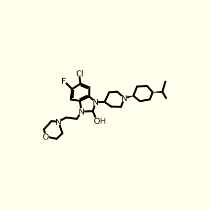 CC(C)[C@H]1CC[C@@H](N2CCC(N3c4cc(Cl)c(F)cc4N(CCN4CCOCC4)C3O)CC2)CC1